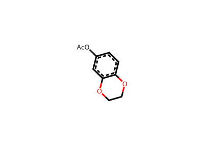 CC(=O)Oc1ccc2c(c1)OCCO2